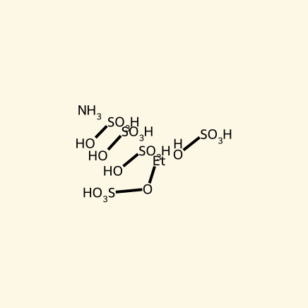 CCOS(=O)(=O)O.N.O=S(=O)(O)O.O=S(=O)(O)O.O=S(=O)(O)O.O=S(=O)(O)O